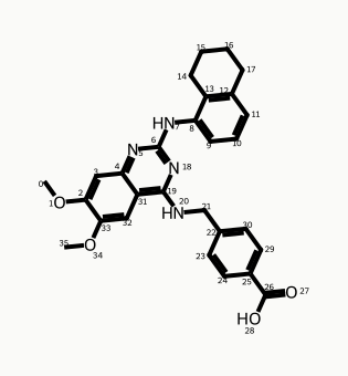 COc1cc2nc(Nc3cccc4c3CCCC4)nc(NCc3ccc(C(=O)O)cc3)c2cc1OC